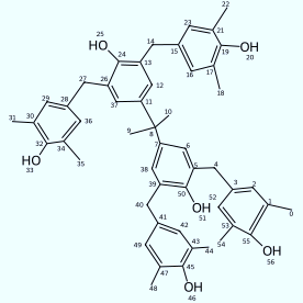 Cc1cc(Cc2cc(C(C)(C)c3cc(Cc4cc(C)c(O)c(C)c4)c(O)c(Cc4cc(C)c(O)c(C)c4)c3)cc(Cc3cc(C)c(O)c(C)c3)c2O)cc(C)c1O